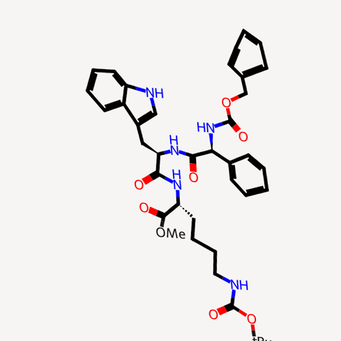 COC(=O)[C@@H](CCCCNC(=O)OC(C)(C)C)NC(=O)[C@@H](Cc1c[nH]c2ccccc12)NC(=O)[C@@H](NC(=O)OCc1ccccc1)c1ccccc1